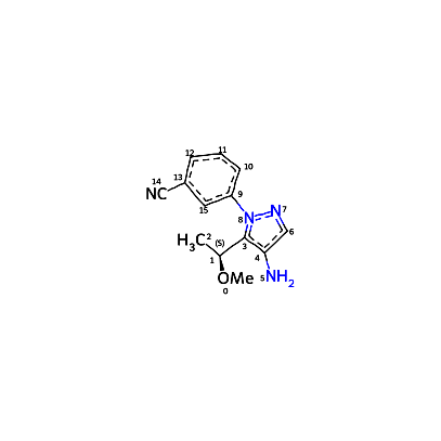 CO[C@@H](C)c1c(N)cnn1-c1cccc(C#N)c1